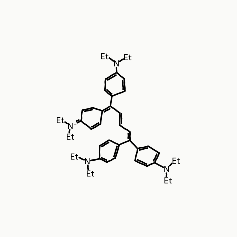 CCN(CC)c1ccc(C(=C/C=C/C(=C2C=CC(=[N+](CC)CC)C=C2)c2ccc(N(CC)CC)cc2)c2ccc(N(CC)CC)cc2)cc1